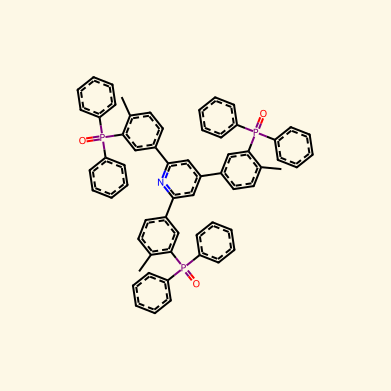 Cc1ccc(-c2cc(-c3ccc(C)c(P(=O)(c4ccccc4)c4ccccc4)c3)nc(-c3ccc(C)c(P(=O)(c4ccccc4)c4ccccc4)c3)c2)cc1P(=O)(c1ccccc1)c1ccccc1